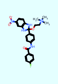 C[N+](C)(C)CCOC1(c2ccc(NC(=O)c3ccc(F)cc3)cc2)Nc2ccc([N+](=O)[O-])cc2N1